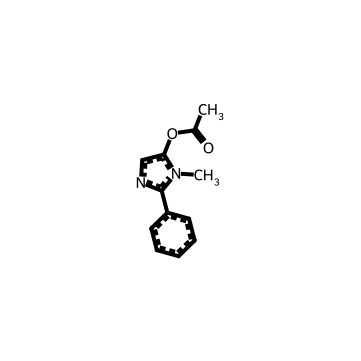 CC(=O)Oc1cnc(-c2ccccc2)n1C